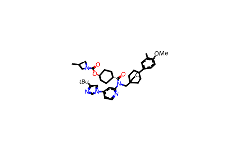 COc1ccc(C23CCC(CN(c4cc(-n5cnc(C(C)(C)C)c5)ccn4)C(=O)[C@H]4CC[C@H](OC(=O)N5CC(C)C5)CC4)(CC2)CC3)cc1C